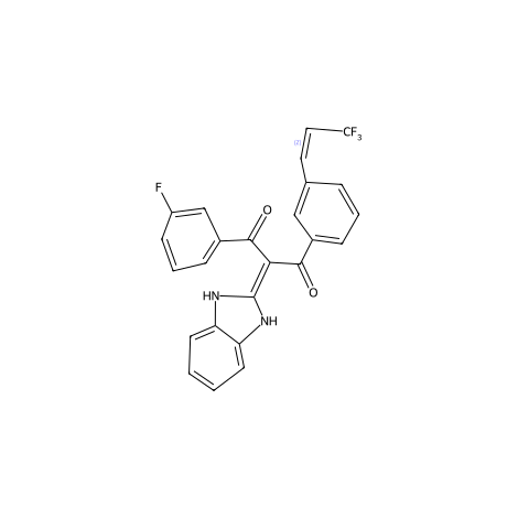 O=C(C(C(=O)c1cccc(/C=C\C(F)(F)F)c1)=C1Nc2ccccc2N1)c1cccc(F)c1